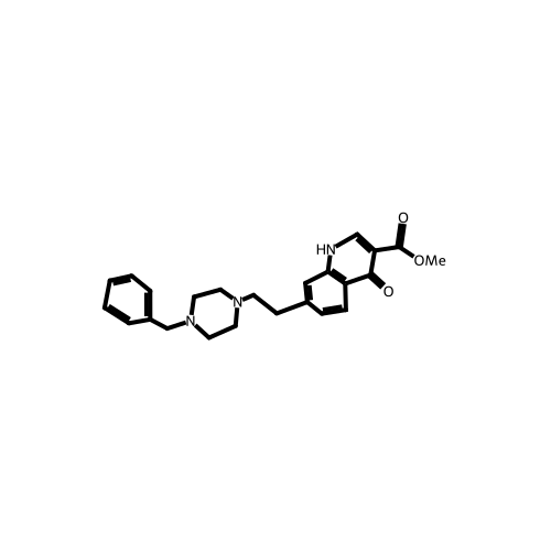 COC(=O)c1c[nH]c2cc(CCN3CCN(Cc4ccccc4)CC3)ccc2c1=O